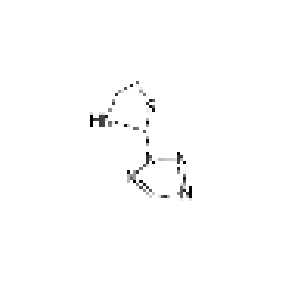 c1nnn(C2NCCS2)n1